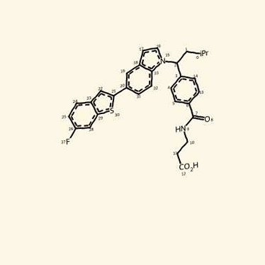 CC(C)CC(c1ccc(C(=O)NCCC(=O)O)cc1)n1ccc2cc(-c3cc4ccc(F)cc4s3)ccc21